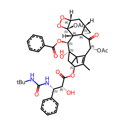 CC(=O)O[C@H]1C(=O)[C@]23C[C@H]2C[C@H]2OO[C@@]2(OC(C)=O)[C@H]3[C@H](OC(=O)c2ccccc2)[C@]2(O)C[C@H](OC(=O)[C@H](O)[C@@H](NC(=O)NC(C)(C)C)c3ccccc3)C(C)=C1C2(C)C